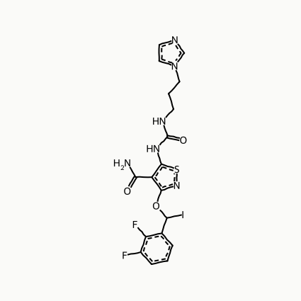 NC(=O)c1c(OC(I)c2cccc(F)c2F)nsc1NC(=O)NCCCn1ccnc1